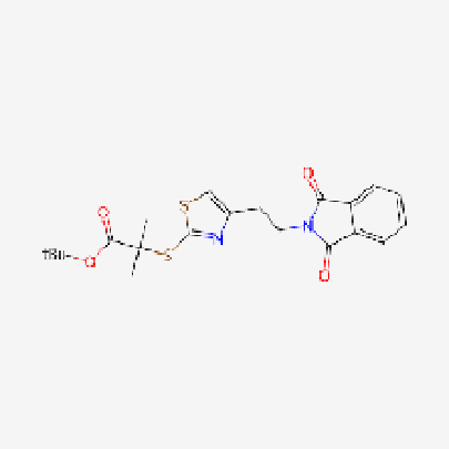 CC(C)(C)OC(=O)C(C)(C)Sc1nc(CCN2C(=O)c3ccccc3C2=O)cs1